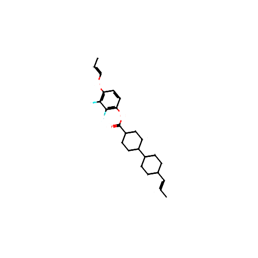 C/C=C/Oc1ccc(OC(=O)C2CCC(C3CCC(/C=C/C)CC3)CC2)c(F)c1F